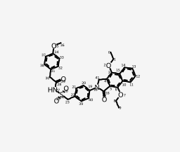 CCOc1c2c(c(OCC)c3ccccc13)C(=O)N(c1ccc(CS(=O)(=O)NC(=O)Cc3ccc(OC)cc3)cc1)C2